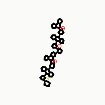 c1cc(-c2ccc3c4ccccc4c4c5cc(-c6c7ccccc7c(-c7cccc8c7sc7ccccc78)c7ccccc67)ccc5oc4c3c2)c2c(c1)oc1c(-c3c4ccccc4c(-c4ccc5oc6c7ccccc7c7ccccc7c6c5c4)c4ccccc34)cccc12